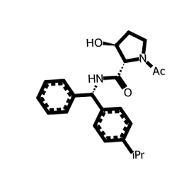 CC(=O)N1CC[C@H](O)[C@H]1C(=O)N[C@@H](c1ccccc1)c1ccc(C(C)C)cc1